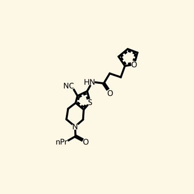 CCCC(=O)N1CCc2c(sc(NC(=O)CCc3ccco3)c2C#N)C1